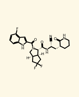 N#C[C@H](C[C@H]1CCCNC1=O)NC(=O)[C@@H]1[C@H]2CC(F)(F)C[C@H]2CN1C(=O)c1cc2c(F)cccc2[nH]1